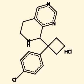 Cl.Clc1ccc(C2(C3NCCc4cncnc43)CCC2)cc1